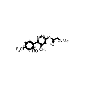 CNCC(=O)Nc1cc(C)c(-c2ccc(C(F)(F)F)cc2O)nn1